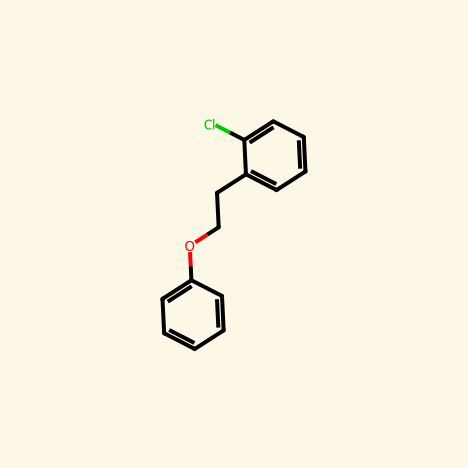 Clc1ccccc1CCOc1ccccc1